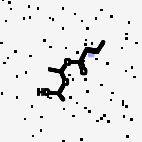 C/C=C/C(=O)OC(C)OC(C)O